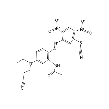 CCN(CCC#N)c1ccc(/N=N/c2cc(SC#N)c([N+](=O)[O-])cc2[N+](=O)[O-])c(NC(C)=O)c1